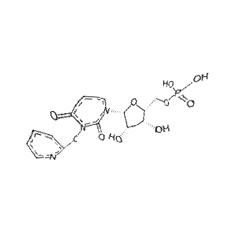 O=c1ccn([C@@H]2O[C@H](COP(=O)(O)O)[C@H](O)[C@@H]2O)c(=O)n1Cc1ccccn1